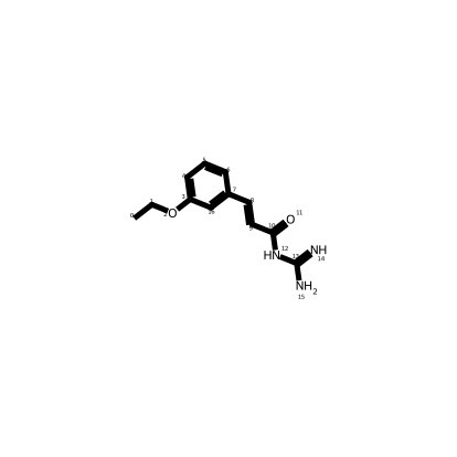 CCOc1cccc(C=CC(=O)NC(=N)N)c1